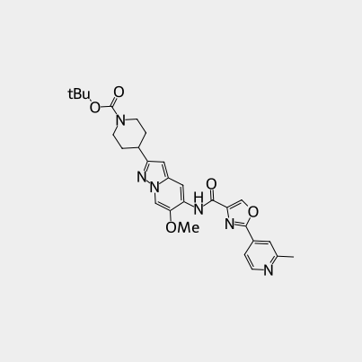 COc1cn2nc(C3CCN(C(=O)OC(C)(C)C)CC3)cc2cc1NC(=O)c1coc(-c2ccnc(C)c2)n1